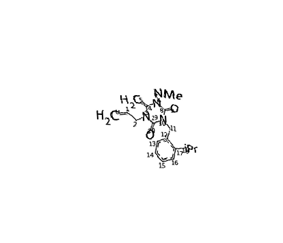 C=CCN1C(=C)N(NC)C(=O)N(Cc2ccccc2C(C)C)C1=O